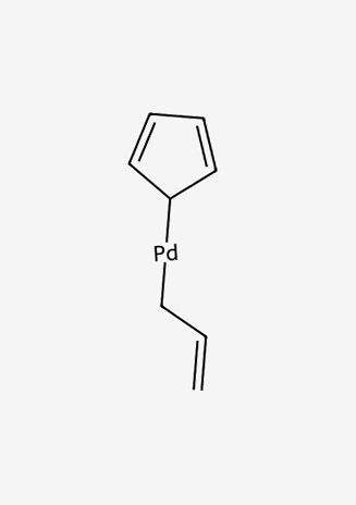 C=C[CH2][Pd][CH]1C=CC=C1